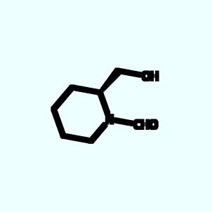 O=CN1CCCC[C@H]1CO